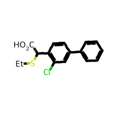 CCSC(C(=O)O)c1ccc(-c2ccccc2)cc1Cl